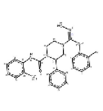 Cc1ccccc1N/C(=N/C#N)N1CCN(C(=O)Nc2ccccc2C(F)(F)F)C(c2ccccc2)C1